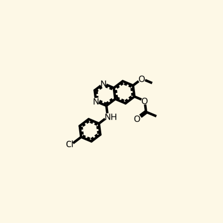 COc1cc2ncnc(Nc3ccc(Cl)cc3)c2cc1OC(C)=O